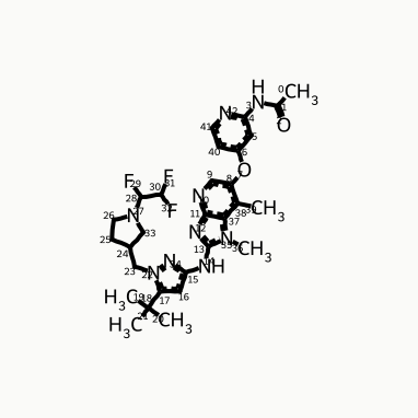 CC(=O)Nc1cc(Oc2cnc3nc(Nc4cc(C(C)(C)C)n(CC5CCN(C(F)C(F)F)C5)n4)n(C)c3c2C)ccn1